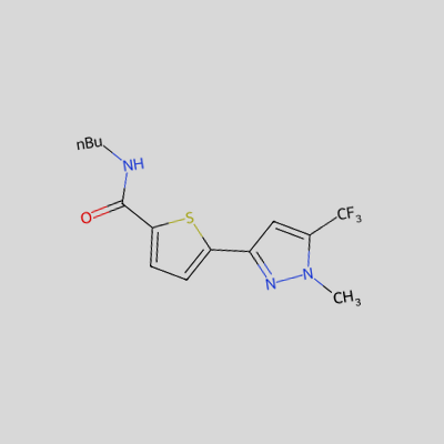 CCCCNC(=O)c1ccc(-c2cc(C(F)(F)F)n(C)n2)s1